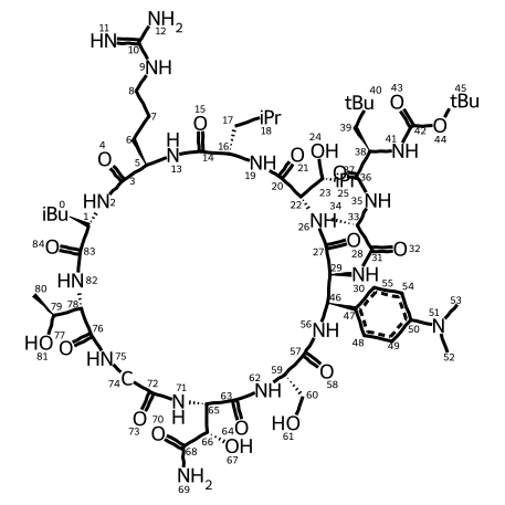 CC[C@H](C)[C@@H]1NC(=O)[C@@H](CCCNC(=N)N)NC(=O)[C@H](CC(C)C)NC(=O)[C@H]([C@H](O)C(C)C)NC(=O)[C@@H](NC(=O)[C@H](C)NC(=O)[C@@H](CC(C)(C)C)NC(=O)OC(C)(C)C)[C@@H](c2ccc(N(C)C)cc2)NC(=O)[C@H](CO)NC(=O)[C@H]([C@H](O)C(N)=O)NC(=O)CNC(=O)[C@H]([C@H](C)O)NC1=O